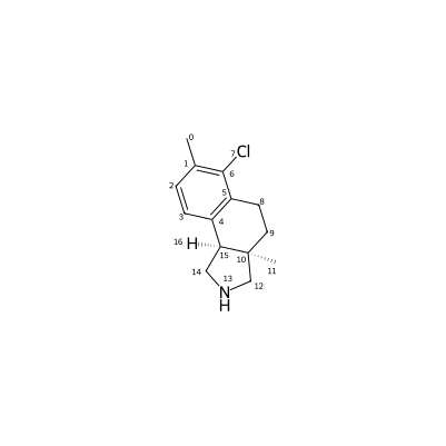 Cc1ccc2c(c1Cl)CC[C@@]1(C)CNC[C@@H]21